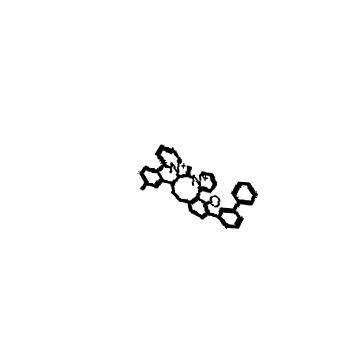 C=C1C2C(CCc3ccc4c(oc5c(-c6ccccc6)cccc54)c3-c3cccc[n+]31)c1cc(C)ccc1-c1cccc[n+]12